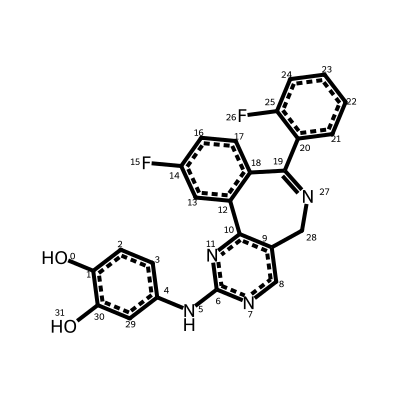 Oc1ccc(Nc2ncc3c(n2)-c2cc(F)ccc2C(c2ccccc2F)=NC3)cc1O